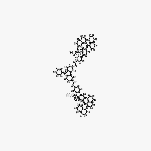 CC1(C)c2cc(/C=C/c3ccc4c(c3)c3cc(/C=C/c5ccc6c(c5)C(C)(C)c5cc(N(c7cccc8ccccc78)c7cccc8ccccc78)ccc5-6)ccc3p4-c3ccccc3)ccc2-c2ccc(N(c3cccc4ccccc34)c3cccc4ccccc34)cc21